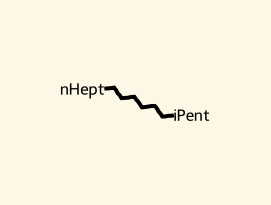 [CH2]CCCCCCCCCCCCC(C)CC[CH2]